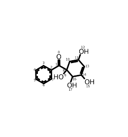 O=C(c1ccccc1)C1(O)C=C(O)C=C(O)C1O